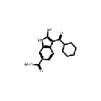 CCCc1[nH]c2cc(C(=O)OC)ccc2c1C(=O)C1CCCCC1